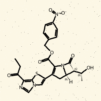 CCC(=O)c1ncn2cc(C3=C(C(=O)OCc4ccc([N+](=O)[O-])cc4)N4C(=O)[C@H]([C@@H](C)O)[C@H]4C3)sc12